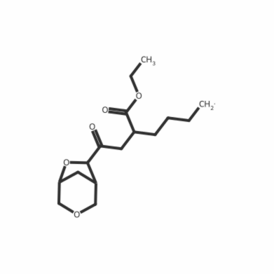 [CH2]CCCC(CC(=O)[C]1OC2COCC1C2)C(=O)OCC